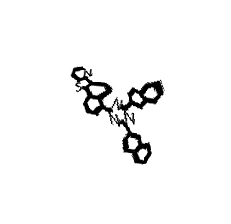 c1ccc2cc(-c3nc(-c4ccc5ccccc5c4)nc(-c4cccc5c4ccc4c6ncccc6sc54)n3)ccc2c1